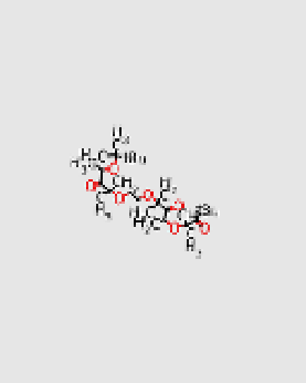 CC(OC(C)(C)C(=O)C(C)(C)C)C(=O)C(C)(C)OCCOC(C)(C)C(=O)C(C)OC(C)(C)C(C)(C)C